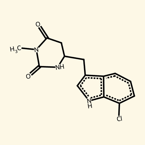 CN1C(=O)CC(Cc2c[nH]c3c(Cl)cccc23)NC1=O